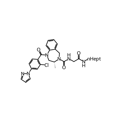 CCCCCCCNC(=O)CNC(=O)N1Cc2ccccc2N(C(=O)c2ccc(-n3cccn3)cc2Cl)C[C@H]1C